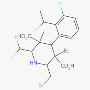 CCC1(C(=O)O)C(CBr)NC(C(F)F)C(C)(C(=O)O)C1c1cccc(F)c1C(C)F